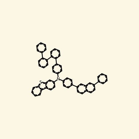 c1ccc(-c2ccc3ccc(-c4ccc(N(c5ccc(-c6ccccc6-c6ccccc6-c6ccccc6)cc5)c5ccc6c(c5)sc5ccccc56)cc4)cc3c2)cc1